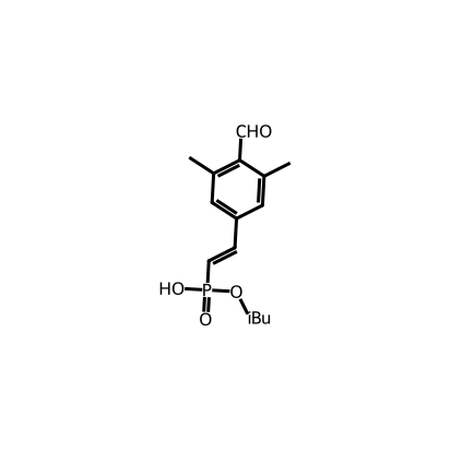 CCC(C)OP(=O)(O)C=Cc1cc(C)c(C=O)c(C)c1